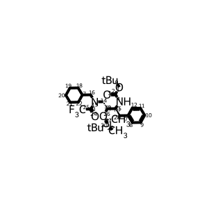 CC(C)(C)OC(=O)N[C@@H](Cc1ccccc1)[C@@H](CN(CC1CCCCC1)C(=O)C(F)(F)F)O[Si](C)(C)C(C)(C)C